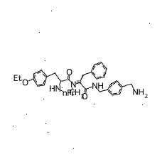 CCCNC(Cc1ccc(OCC)cc1)C(=O)N(C)[C@@H](Cc1ccccc1)C(=O)NCc1ccc(CN)cc1